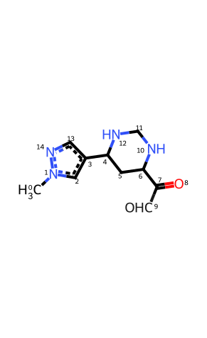 Cn1cc(C2CC(C(=O)C=O)NCN2)cn1